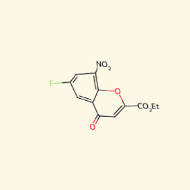 CCOC(=O)c1cc(=O)c2cc(F)cc([N+](=O)[O-])c2o1